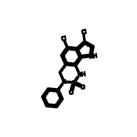 O=S1(=O)Nc2c(cc(Cl)c3c(Cl)c[nH]c23)CN1c1ccccc1